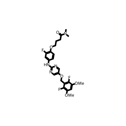 COc1cc(OC)c(F)c(COc2cnc(Nc3ccc(OCCCC(=O)N(C)C)c(F)c3)nc2)c1F